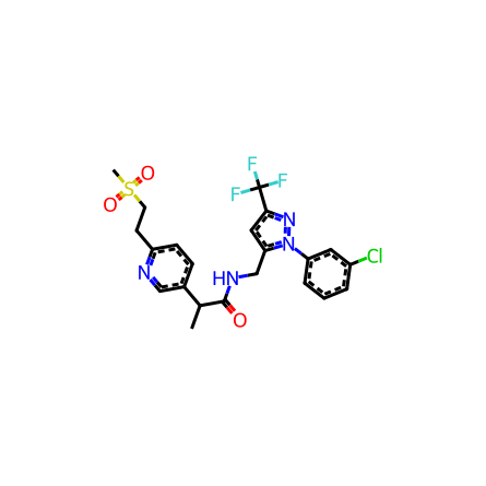 CC(C(=O)NCc1cc(C(F)(F)F)nn1-c1cccc(Cl)c1)c1ccc(CCS(C)(=O)=O)nc1